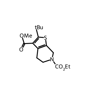 CCOC(=O)N1CCc2c(sc(C(C)(C)C)c2C(=O)OC)C1